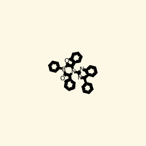 c1ccc(B2c3oc4ccccc4c3N(c3nc(-c4ccccc4)c4ccccc4n3)c3c2oc2ccccc32)cc1